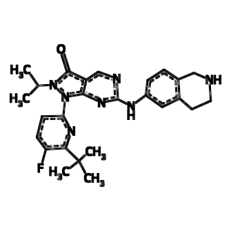 CC(C)n1c(=O)c2cnc(Nc3ccc4c(c3)CCNC4)nc2n1-c1ccc(F)c(C(C)(C)C)n1